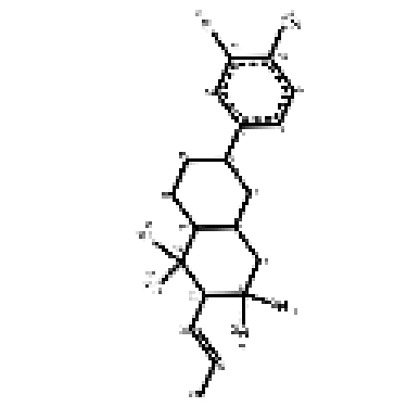 [2H]C1([2H])CC2CC(c3ccc(C#N)c(F)c3)CCC2C([2H])([2H])C1/C=C/C